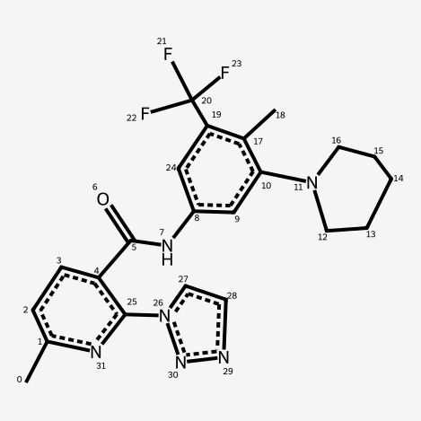 Cc1ccc(C(=O)Nc2cc(N3CCCCC3)c(C)c(C(F)(F)F)c2)c(-n2ccnn2)n1